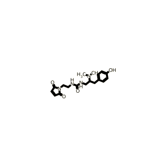 CN(C)C(CNC(=O)NCCN1C(=O)C=CC1=O)Cc1ccc(O)cc1